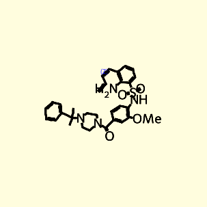 C=C/C=C\c1cccc(S(=O)(=O)Nc2ccc(C(=O)N3CCN(C(C)(C)c4ccccc4)CC3)cc2OC)c1N